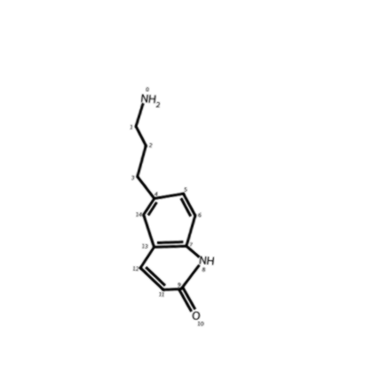 NCCCc1ccc2[nH]c(=O)ccc2c1